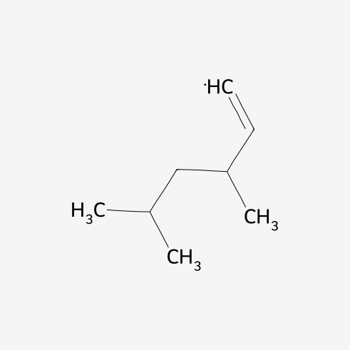 [CH]=CC(C)CC(C)C